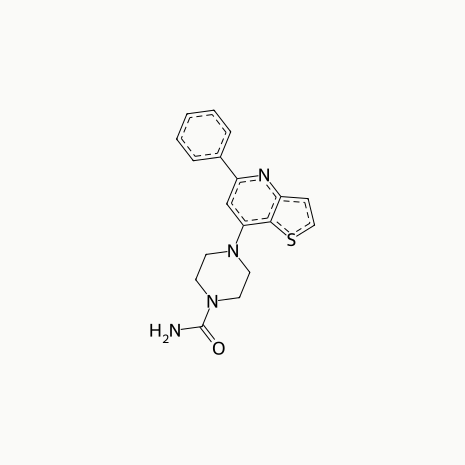 NC(=O)N1CCN(c2cc(-c3ccccc3)nc3ccsc23)CC1